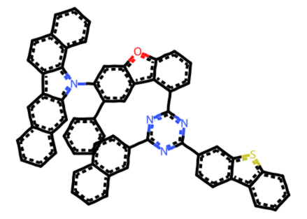 c1ccc(-c2cc3c(cc2-n2c4cc5ccccc5cc4c4ccc5ccccc5c42)oc2cccc(-c4nc(-c5ccc6ccccc6c5)nc(-c5ccc6c(c5)sc5ccccc56)n4)c23)cc1